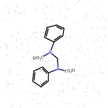 CCOC(=O)N(CN(C(=O)OCC)c1ccccc1)c1ccccc1